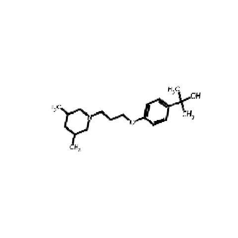 CC1CC(C)CN(CCCOc2ccc(C(C)(C)O)cc2)C1